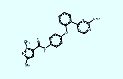 CNc1nccc(-c2cccnc2Oc2ccc(NC(=O)c3cc(C(C)(C)C)nn3C)cc2)n1